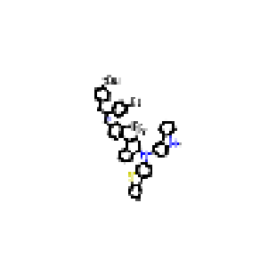 CCc1ccc(/C(=C\c2ccc(-c3c(C(C)C)cc(N(c4ccc5c(c4)sc4ccccc45)c4ccc5c(c4)c4ccccc4n5C)c4ccccc34)c(C(C)C)c2)Cc2ccc(C(C)(C)C)cc2)cc1